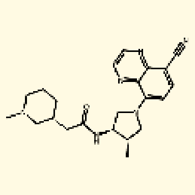 C[C@@H]1CN(c2ccc(C#N)c3nccnc23)C[C@@H]1NC(=O)C[C@H]1CCCN(C)C1